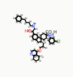 C[C@@H](COc1ccnc2c1[C@H](C)CCC2)C[C@H]1Cc2ccc([C@@H](O)CN(C)CCCCc3ccccc3)cc2C12CCC(Nc1cccc(Cl)c1)(C(=O)O)CC2